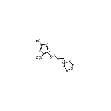 O=[N+]([O-])c1cc(Br)cnc1OCCCN1CCOCC1